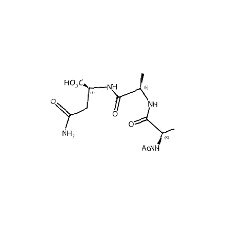 CC(=O)N[C@H](C)C(=O)N[C@H](C)C(=O)N[C@@H](CC(N)=O)C(=O)O